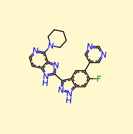 Fc1cc2[nH]nc(-c3nc4c(N5CCCCC5)nccc4[nH]3)c2cc1-c1cncnc1